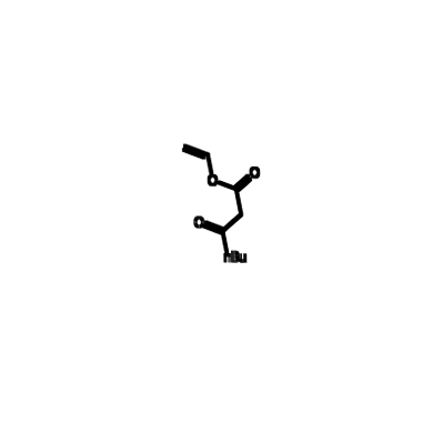 C=COC(=O)CC(=O)CCCC